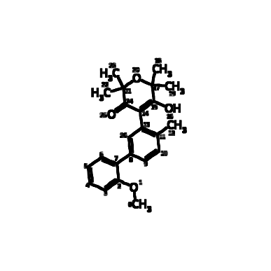 COc1ccccc1-c1ccc(C)c(C2=C(O)C(C)(C)OC(C)(C)C2=O)c1